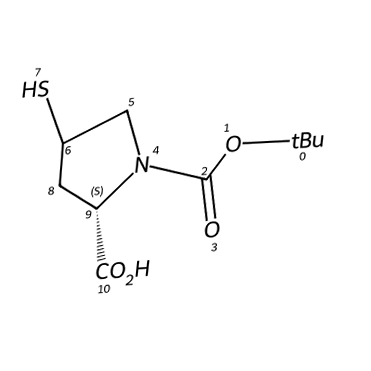 CC(C)(C)OC(=O)N1CC(S)C[C@H]1C(=O)O